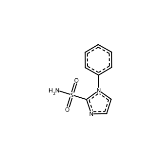 NS(=O)(=O)c1nccn1-c1ccccc1